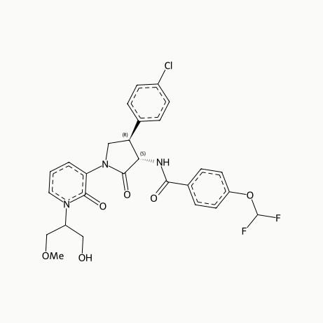 COCC(CO)n1cccc(N2C[C@@H](c3ccc(Cl)cc3)[C@H](NC(=O)c3ccc(OC(F)F)cc3)C2=O)c1=O